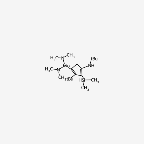 C[N](C)[Mo]([C]1=C(C(C)(C)C)C([SiH](C)C)=C(NC(C)(C)C)C1)[N](C)C